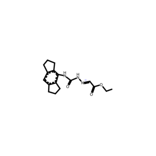 CCOC(=O)/C=N/NC(=O)Nc1c2c(cc3c1CCC3)CCC2